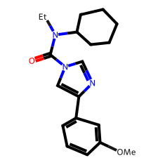 CCN(C(=O)n1cnc(-c2cccc(OC)c2)c1)C1CCCCC1